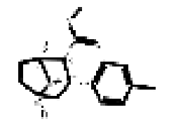 COC(=O)[C@@H]1[C@H](c2ccc(C)cc2)C[C@H]2CC[C@@H]1N2C